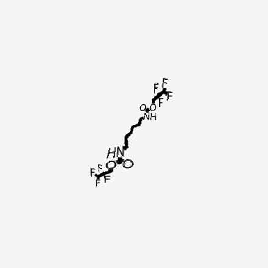 O=C(NCCCCCCNC(=O)OCC(F)(F)C(F)F)OCC(F)(F)C(F)F